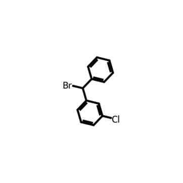 Clc1cccc(C(Br)c2ccccc2)c1